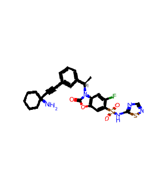 C[C@H](c1cccc(C#CC2(N)CCCCC2)c1)n1c(=O)oc2cc(S(=O)(=O)Nc3ncns3)c(F)cc21